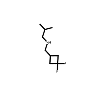 CC(C)CNCC1CC(F)(F)C1